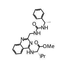 COC(=O)[C@@H](Nc1nc(CNC(=O)N[C@@H](C)c2ccccc2)nc2ccccc12)C(C)C